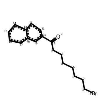 O=C(CCCCCCCBr)c1ccc2ccccc2c1